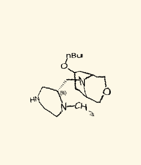 CCCCOC1CC2COCC1N2C[C@H]1CNCCN1C